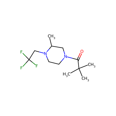 CC1CN(C(=O)C(C)(C)C)CCN1CC(F)(F)F